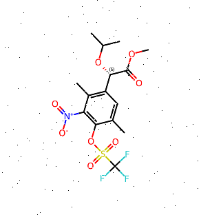 COC(=O)[C@@H](OC(C)C)c1cc(C)c(OS(=O)(=O)C(F)(F)F)c([N+](=O)[O-])c1C